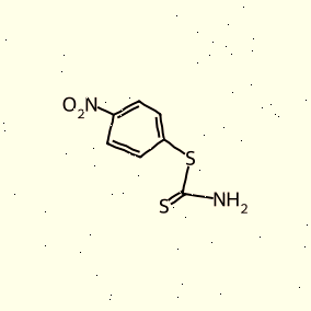 NC(=S)Sc1ccc([N+](=O)[O-])cc1